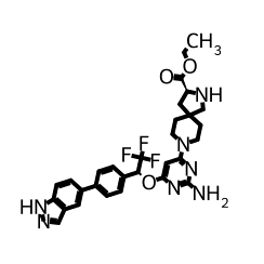 CCOC(=O)[C@@H]1CC2(CCN(c3cc(O[C@H](c4ccc(-c5ccc6[nH]ncc6c5)cc4)C(F)(F)F)nc(N)n3)CC2)CN1